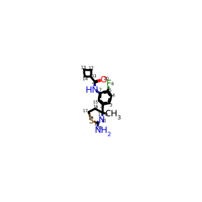 CC1(c2ccc(F)c(NC(=O)C3CCC3)c2)CCSC(N)=N1